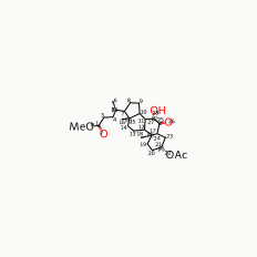 COC(=O)CC[C@@H](C)C1CCC2C3C(CC[C@@]21C)[C@@]1(C)CC[C@@H](OC(C)=O)CC1C(=O)[C@H]3O